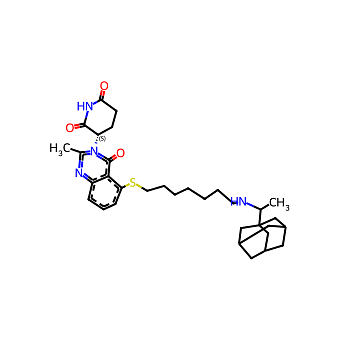 Cc1nc2cccc(SCCCCCCCNC(C)C34CC5CC(CC(C5)C3)C4)c2c(=O)n1[C@H]1CCC(=O)NC1=O